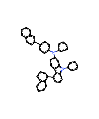 c1ccc(N(c2ccc(-c3ccc4ccccc4c3)cc2)c2ccc3c4c(-c5cccc6ccccc56)cccc4n(-c4ccccc4)c3c2)cc1